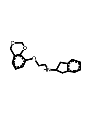 c1ccc2c(c1)CC(NCCOc1cccc3c1OCOC3)C2